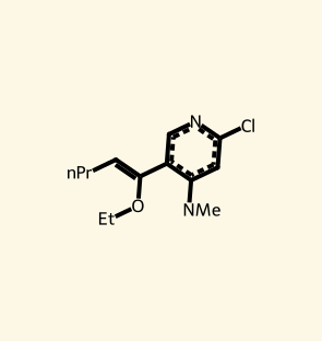 CCC/C=C(\OCC)c1cnc(Cl)cc1NC